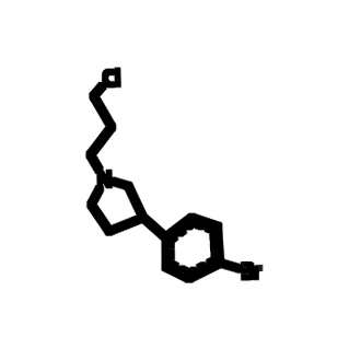 ClCCCN1CCC(c2ccc(Br)cc2)C1